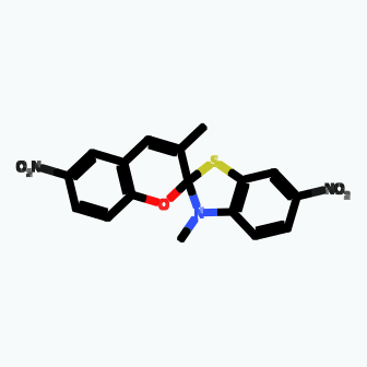 CC1=Cc2cc([N+](=O)[O-])ccc2OC12Sc1cc([N+](=O)[O-])ccc1N2C